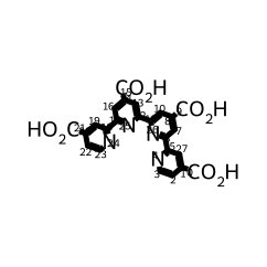 O=C(O)c1ccnc(-c2cc(C(=O)O)cc(-c3cc(C(=O)O)cc(-c4cc(C(=O)O)ccn4)n3)n2)c1